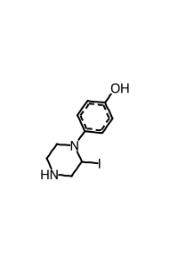 Oc1ccc(N2CCNCC2I)cc1